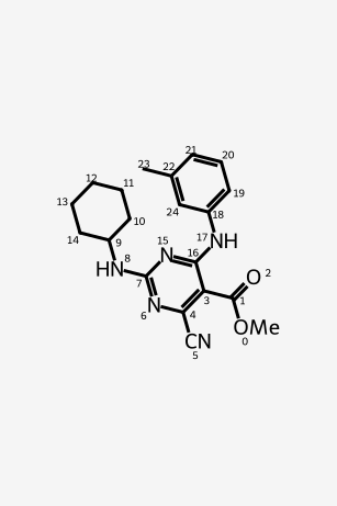 COC(=O)c1c(C#N)nc(NC2CCCCC2)nc1Nc1cccc(C)c1